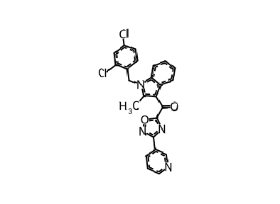 Cc1c(C(=O)c2nc(-c3cccnc3)no2)c2ccccc2n1Cc1ccc(Cl)cc1Cl